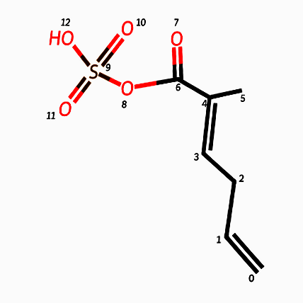 C=CC/C=C(\C)C(=O)OS(=O)(=O)O